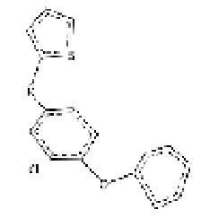 [Cl-].c1ccc(Oc2ccc([I+]c3cccs3)cc2)cc1